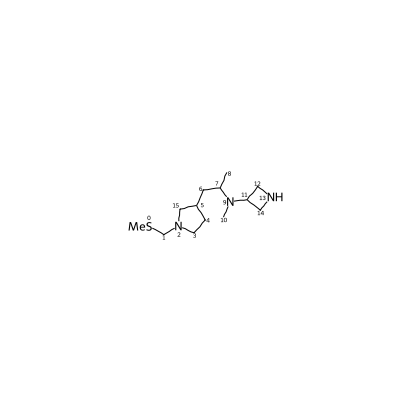 CSCN1CCC(CC(C)N(C)C2CNC2)C1